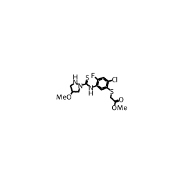 COC(=O)CSc1cc(NC(=S)N2CC(OC)CN2)c(F)cc1Cl